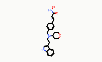 O=C(/C=C/c1ccc(CN(CCc2c[nH]c3ccccc23)C2CCOCC2)cc1)NO